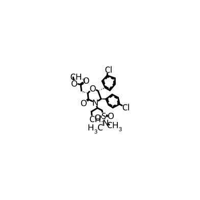 CCC(CS(=O)(=O)N(C)C)N1C(=O)[C@H](CC(=O)OC)O[C@H](c2cccc(Cl)c2)[C@H]1c1ccc(Cl)cc1